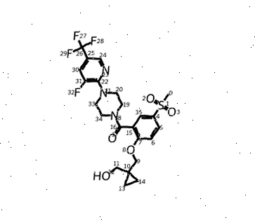 CS(=O)(=O)c1ccc(OCC2(CO)CC2)c(C(=O)N2CCN(c3ncc(C(F)(F)F)cc3F)CC2)c1